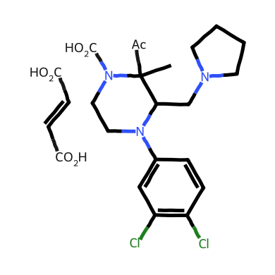 CC(=O)C1(C)C(CN2CCCC2)N(c2ccc(Cl)c(Cl)c2)CCN1C(=O)O.O=C(O)C=CC(=O)O